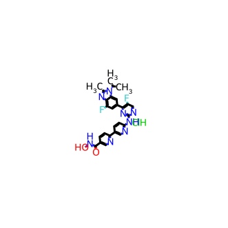 Cc1nc2c(F)cc(-c3nc(Nc4ccc(-c5ccc(C(=O)NO)cn5)cn4)ncc3F)cc2n1C(C)C.Cl